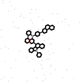 c1ccc(-c2ccccc2N(c2ccc(-c3ccc4c(ccc5ccccc54)c3)cc2)c2cccc(-c3cc4ccccc4c4c3c3ccccc3n4-c3ccccc3)c2)cc1